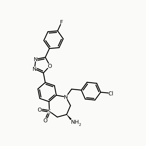 N[C@@H]1CN(Cc2ccc(Cl)cc2)c2cc(-c3nnc(-c4ccc(F)cc4)o3)ccc2S(=O)(=O)C1